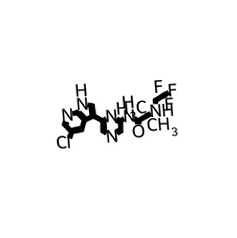 CC(C)(NCC(F)(F)F)C(=O)Nc1cncc(-c2c[nH]c3ncc(Cl)cc23)n1